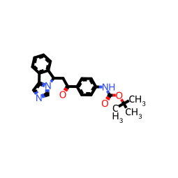 CC(C)(C)OC(=O)Nc1ccc(C(=O)CC2c3ccccc3-c3cncn32)cc1